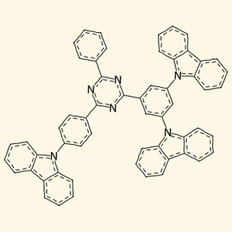 c1ccc(-c2nc(-c3ccc(-n4c5ccccc5c5ccccc54)cc3)nc(-c3cc(-n4c5ccccc5c5ccccc54)cc(-n4c5ccccc5c5ccccc54)c3)n2)cc1